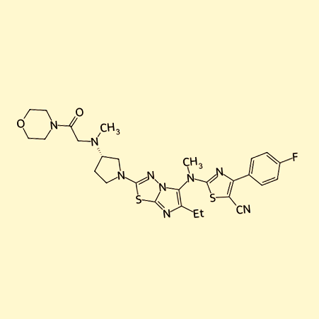 CCc1nc2sc(N3CC[C@H](N(C)CC(=O)N4CCOCC4)C3)nn2c1N(C)c1nc(-c2ccc(F)cc2)c(C#N)s1